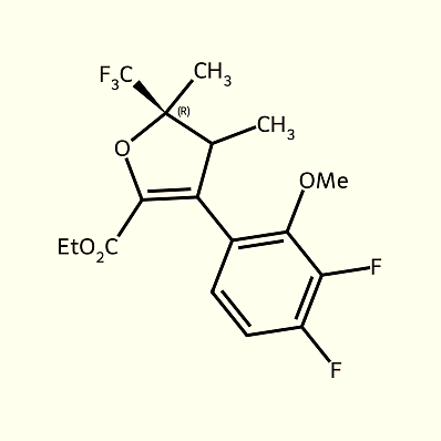 CCOC(=O)C1=C(c2ccc(F)c(F)c2OC)C(C)[C@](C)(C(F)(F)F)O1